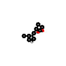 c1ccc(-c2ccc(N(c3ccc(-c4ccc5c(c4)C4(c6ccccc6-c6ccccc6-5)c5ccccc5-c5ccccc54)cc3)c3cccc4oc5ccccc5c34)cc2)cc1